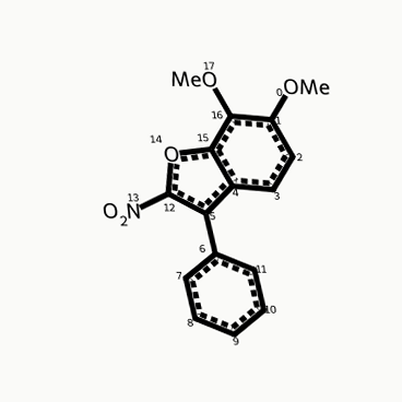 COc1ccc2c(-c3ccccc3)c([N+](=O)[O-])oc2c1OC